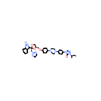 CCC(C)n1ncn(-c2ccc(N3CCN(c4ccc(OC[C@@H]5CO[C@@](Cn6nccn6)(c6n[nH]c7ccccc67)O5)cc4)CC3)cc2)c1=O